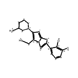 NC1CCCN(c2nc3sc(-c4cccc(Cl)c4Cl)nn3c2CO)C1